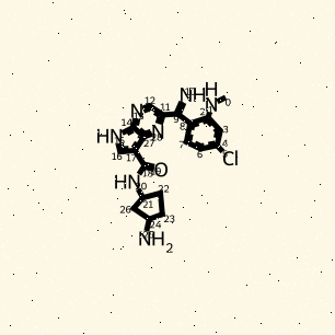 CNc1cc(Cl)ccc1C(=N)c1cnc2[nH]cc(C(=O)NC3CCC(N)C3)c2n1